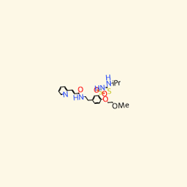 COCCOc1ccc(CCNC(=O)C=Cc2ccccn2)cc1S(=O)(=O)NC(=S)NC(C)C